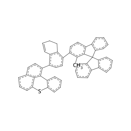 Cc1c(-c2ccc(-c3ccc4cccc5c4c3-c3ccccc3S5)c3c2CCC=C3)ccc2c1C1(c3ccccc3-c3ccccc31)c1ccccc1-2